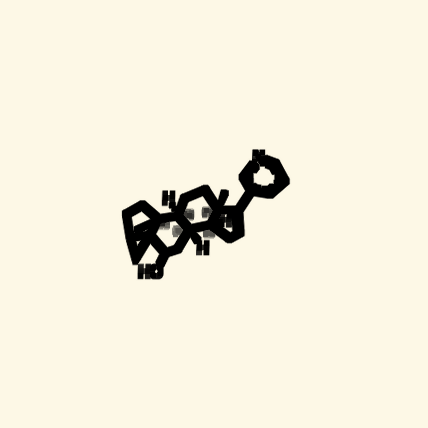 C[C@]12CC[C@H]3[C@@H](CC(O)C45CC4CC[C@]35C)[C@@H]1CC=C2c1cccnc1